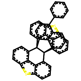 c1ccc(-c2ccc3c4c(cccc24)C24c5cccc6sc7cccc(c7c56)C32c2cccc3sc5cccc4c5c23)cc1